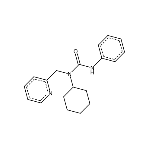 O=C(Nc1ccccc1)N(Cc1ccccn1)C1CCCCC1